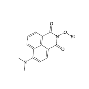 CCON1C(=O)c2cccc3c(N(C)C)ccc(c23)C1=O